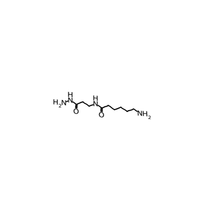 NCCCCCC(=O)NCCC(=O)NN